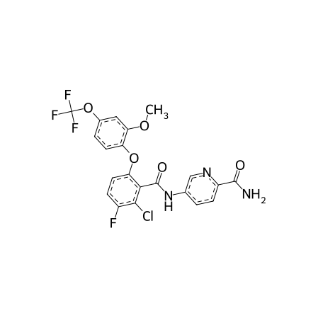 COc1cc(OC(F)(F)F)ccc1Oc1ccc(F)c(Cl)c1C(=O)Nc1ccc(C(N)=O)nc1